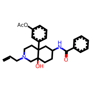 C=CCN1CCC2(c3cccc(OC(C)=O)c3)CC(NC(=O)c3ccccc3)CCC2(O)C1